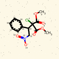 COC(=O)C(Cl)(C(=O)OC)C(C[N+](=O)[O-])c1ccccc1